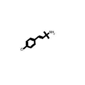 CC(C)(N)C=Cc1ccc(Cl)cc1